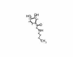 CCCCNCC(=O)c1ccc(O)c(O)c1